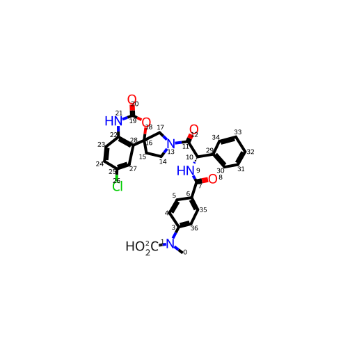 CN(C(=O)O)c1ccc(C(=O)N[C@H](C(=O)N2CCC3(C2)OC(=O)Nc2ccc(Cl)cc23)c2ccccc2)cc1